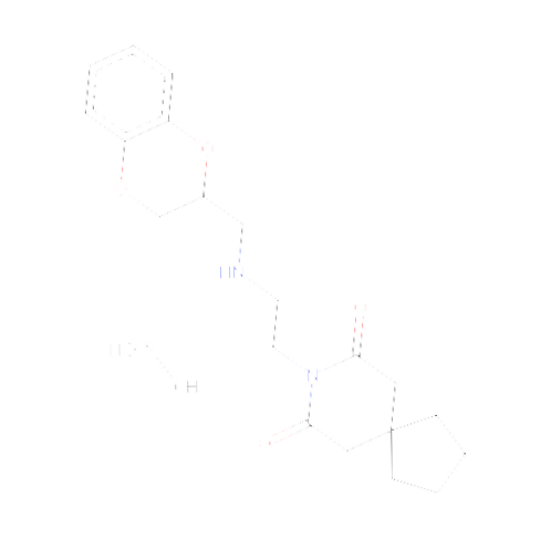 CS(=O)(=O)O.O=C1CC2(CCCC2)CC(=O)N1CCNCC1COc2ccccc2O1